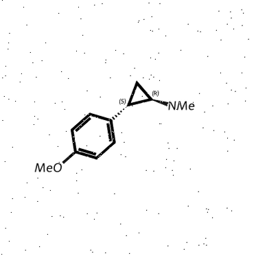 CN[C@@H]1C[C@H]1c1ccc(OC)cc1